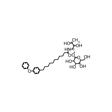 C[C@@H](O)[C@@H](O)[C@H](CO[C@H]1OC(CO)[C@H](O)C(O)C1O)NC(=O)CCCCCCCCCCc1ccc(Oc2ccccc2)cc1